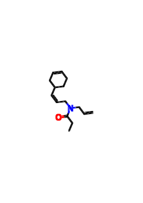 C=CCN(C/C=C\C1CC=CCC1)C(=O)CC